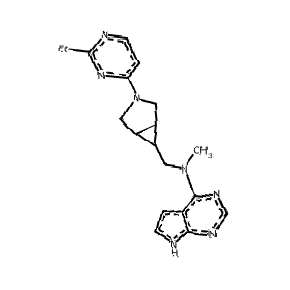 CCc1nccc(N2CC3C(CN(C)c4ncnc5[nH]ccc45)C3C2)n1